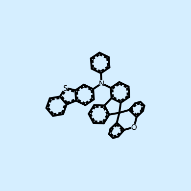 c1ccc(N(c2ccc3c(c2)sc2ccccc23)c2cccc3c2-c2ccccc2C32c3ccccc3Oc3ccccc32)cc1